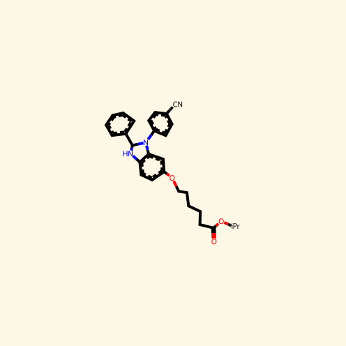 CC(C)OC(=O)CCCCCOc1ccc2c(c1)N(c1ccc(C#N)cc1)C(c1ccccc1)N2